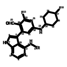 CCNc1ncnc2[nH]cc(-c3cc(NC4CCC(F)CC4)nc(F)c3C=O)c12